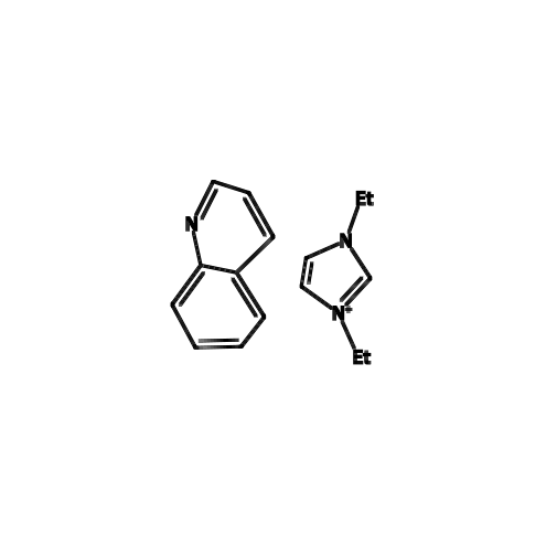 CCn1cc[n+](CC)c1.c1ccc2ncccc2c1